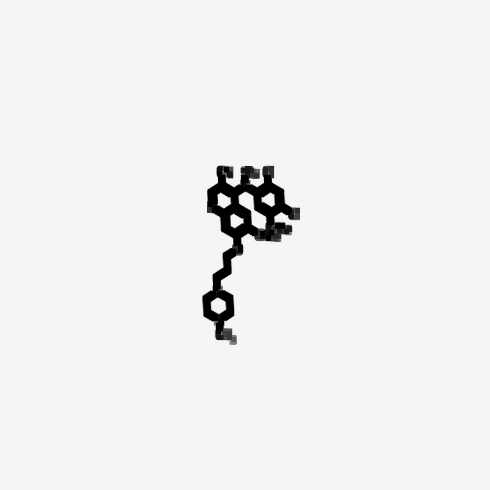 COc1cc(N(c2c(C#N)cnc3cc(OCCCN4CCN(C)CC4)c(OC)cc23)C(C)(C)C)c(Cl)cc1Cl